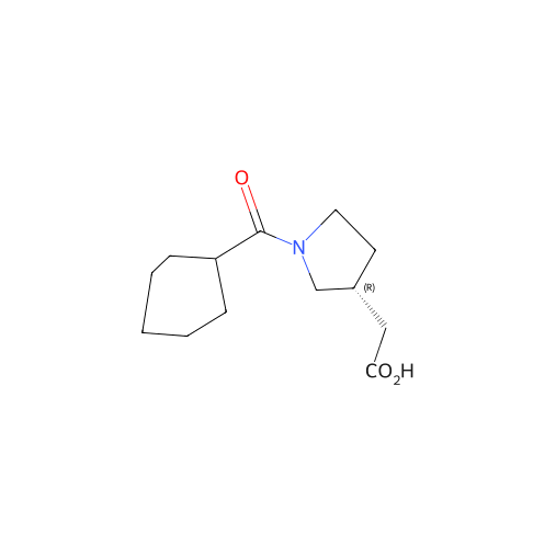 O=C(O)C[C@H]1CCN(C(=O)C2CCCCC2)C1